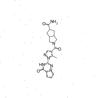 Cc1c(C(=O)N2CC3CC(C(N)=O)CC3C2)cnn1-c1nn2cccc2c(=O)[nH]1